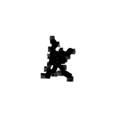 C=CC[Si]1(CC=C)CC[Si](CC=C)(CC=C)O1